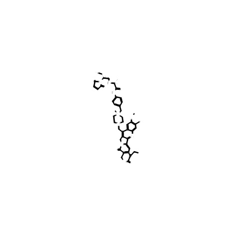 CC[C@@]1(O)C(=O)OCc2c1cc1n(c2=O)Cc2c-1nc1cc(F)c(OC)cc1c2CN1CC[N+](C)(Cc2ccc(NC(=O)[C@H](C)NC(=O)[C@H](CN)N3C(=O)C=CC3=O)cc2)CC1